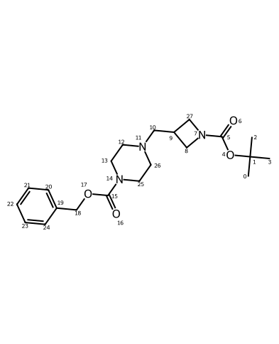 CC(C)(C)OC(=O)N1CC(CN2CCN(C(=O)OCc3ccccc3)CC2)C1